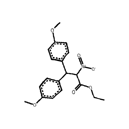 CCOC(=O)C(C(c1ccc(OC)cc1)c1ccc(OC)cc1)[N+](=O)[O-]